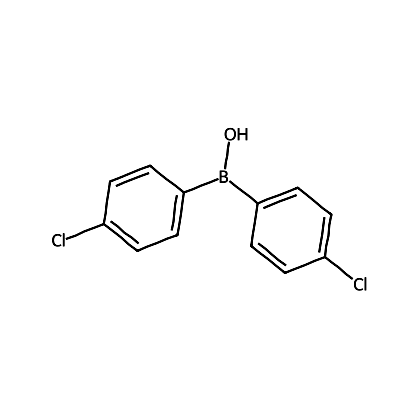 OB(c1ccc(Cl)cc1)c1ccc(Cl)cc1